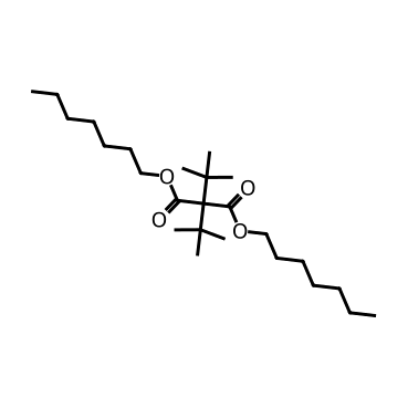 CCCCCCCOC(=O)C(C(=O)OCCCCCCC)(C(C)(C)C)C(C)(C)C